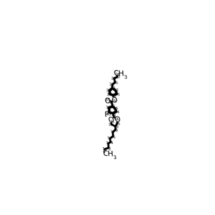 CCCCCCCCCC1COC(c2ccc(C(=O)Oc3ccc(CCCCC)cc3)cc2F)OC1